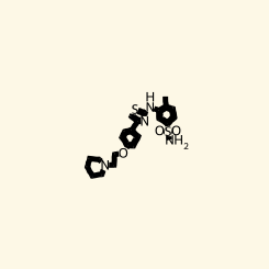 Cc1ccc(S(N)(=O)=O)cc1Nc1nc(-c2ccc(OCCN3CCCCC3)cc2)cs1